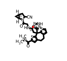 C[C@H](CC1(c2nn[nH]n2)c2sccc2CCc2cc(C(=O)N(C)C)sc21)NCC(=O)N1C(C#N)C[C@@H]2C[C@@H]21